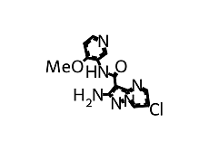 COc1ccncc1NC(=O)c1c(N)nn2cc(Cl)cnc12